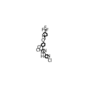 COc1cc(OCc2ccc(C(F)(F)F)cn2)ccc1-c1nc(-c2ccc(Cl)nc2)[nH]c1Cl